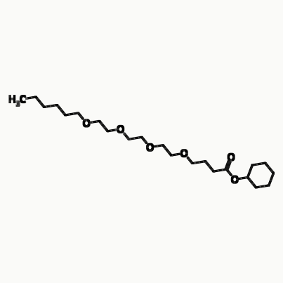 CCCCCCOCCOCCOCCOCCCC(=O)OC1CCCCC1